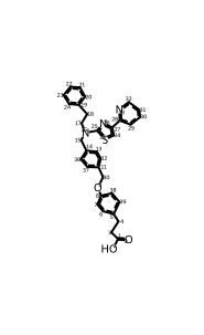 O=C(O)CCc1ccc(OCc2ccc(CN(CCc3ccccc3)c3nc(-c4ccccn4)cs3)cc2)cc1